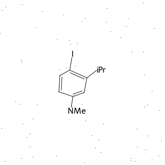 CNc1ccc(I)c(C(C)C)c1